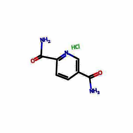 Cl.NC(=O)c1ccc(C(N)=O)nc1